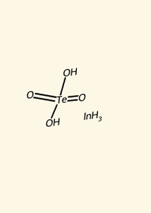 O=[Te](=O)(O)O.[InH3]